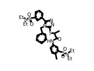 CCN(CC)S(=O)(=O)c1cccc(-c2nnc(SC(C)C(=O)Nc3ccc(C)c(S(=O)(=O)N(CC)CC)c3)n2Cc2ccccc2)c1